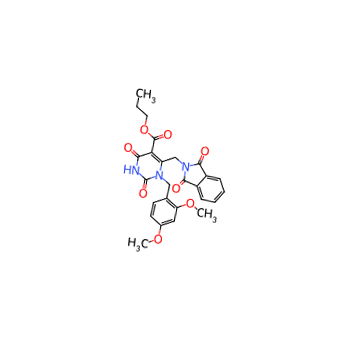 CCCOC(=O)c1c(CN2C(=O)c3ccccc3C2=O)n(Cc2ccc(OC)cc2OC)c(=O)[nH]c1=O